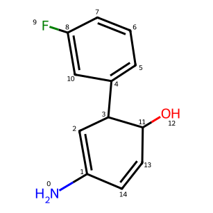 NC1=CC(c2cccc(F)c2)C(O)C=C1